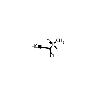 C#CC(Cl)P(C)(=O)I